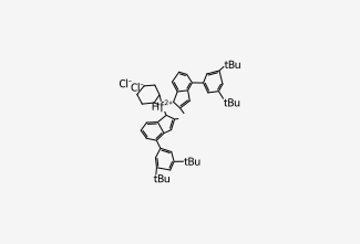 CC1=Cc2c(-c3cc(C(C)(C)C)cc(C(C)(C)C)c3)cccc2[CH]1[Hf+2]1([CH]2C(C)=Cc3c(-c4cc(C(C)(C)C)cc(C(C)(C)C)c4)cccc32)[CH]2CCCC[CH]21.[Cl-].[Cl-]